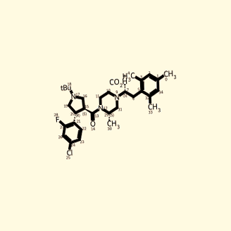 Cc1cc(C)c(C[C@@H](C(=O)O)N2CCN(C(=O)[C@@H]3CN(C(C)(C)C)C[C@H]3c3ccc(Cl)cc3F)[C@@H](C)C2)c(C)c1